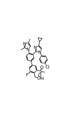 Cc1cn(-c2ccc(-c3cc(F)c(CO)c(S(C)(=O)=O)c3)cc2-c2nc(C3CC3)cn2-c2ccc(Cl)cc2)c(C)n1